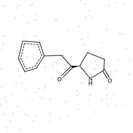 O=C1CC[C@H](C(=O)[CH]c2ccccc2)N1